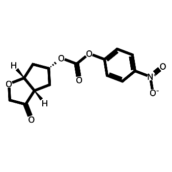 O=C(Oc1ccc([N+](=O)[O-])cc1)O[C@@H]1C[C@@H]2C(=O)CO[C@@H]2C1